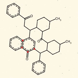 CC1CCC(C(CC(=O)c2ccccc2)c2ccccc2)C(C(=O)C2CC(C)CCC2C(CC(=O)c2ccccc2)c2ccccc2)C1